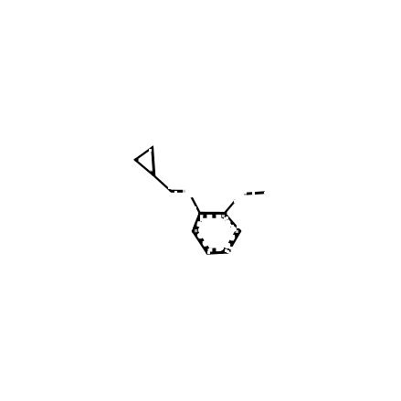 COc1c[c]ccc1OCC1CC1